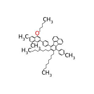 CCCCCCCCCc1c(CCCCCCCC)c(-c2ccc(-c3cc(OCCCCCC)c4cc(C)cc(C)c4c3)cc2)c2c(c1-c1ccc(C)cc1)-c1cccc3cccc-2c13